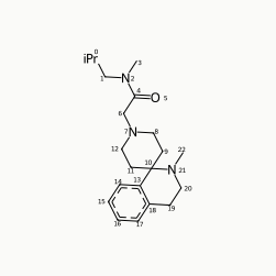 CC(C)CN(C)C(=O)CN1CCC2(CC1)c1ccccc1CCN2C